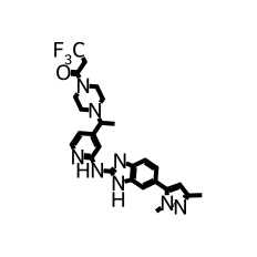 Cc1cc(-c2ccc3nc(Nc4cc(C(C)N5CCN(C(=O)CC(F)(F)F)CC5)ccn4)[nH]c3c2)n(C)n1